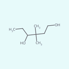 CCC(O)C(C)(C)CCO